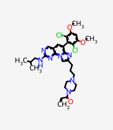 C=CC(=O)N1CCN(CCCc2cn3c(n2)c(-c2c(Cl)c(OC)cc(OC)c2Cl)cc2cnc(NCC(C)C)nc23)CC1